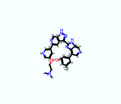 CN(C)CCOc1cncc(-c2cc3c(-c4nc5c(-c6cc(O)cc(F)c6)cncc5[nH]4)n[nH]c3cn2)c1